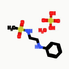 CS(=O)(=O)NCCNc1ccccc1.O.O=S(=O)(O)O